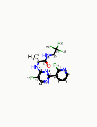 C[C@@H](Nc1nc(-c2cccnc2F)ncc1F)C(=O)NCC(F)(F)F